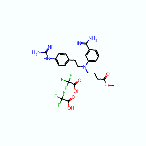 COC(=O)CCCN(CCc1ccc(NC(=N)N)cc1)c1cccc(C(=N)N)c1.O=C(O)C(F)(F)F.O=C(O)C(F)(F)F